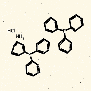 Cl.N.c1ccc(P(c2ccccc2)c2ccccc2)cc1.c1ccc(P(c2ccccc2)c2ccccc2)cc1